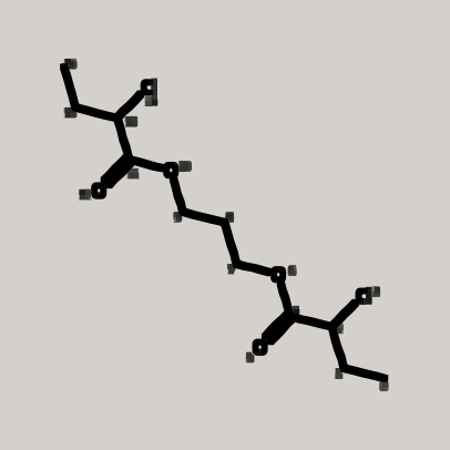 CCC(Cl)C(=O)OCCCOC(=O)C(Cl)CC